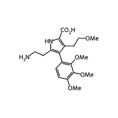 COCCc1c(C(=O)O)[nH]c(CCN)c1-c1ccc(OC)c(OC)c1OC